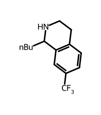 CCCCC1NCCc2ccc(C(F)(F)F)cc21